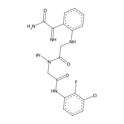 CC(C)N(CC(=O)Nc1cccc(Cl)c1F)C(=O)CNc1ccccc1C(=N)C(N)=O